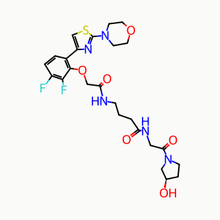 O=C(CCCNC(=O)COc1c(-c2csc(N3CCOCC3)n2)ccc(F)c1F)NCC(=O)N1CC[C@@H](O)C1